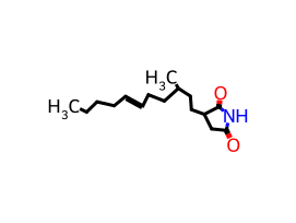 CCCCC=CCCC(C)CCC1CC(=O)NC1=O